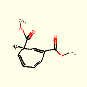 COC(=O)C1=CC(C)(C(=O)OC)C=CC=C1